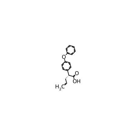 C=CC[C@@H](C(=O)O)c1ccc(Oc2ccccc2)cc1